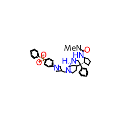 CNC(=O)N[C@H]1CCC[C@@H]1C(CN)(c1ccccc1)C1CCN(CC2CN(c3ccc(S(=O)(=O)c4ccccc4)cc3)C2)CC1